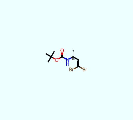 C[C@H](C=C(Br)Br)NC(=O)OC(C)(C)C